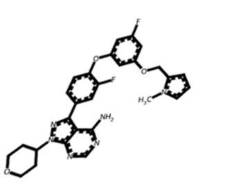 Cn1cccc1COc1cc(F)cc(Oc2ccc(-c3nn(C4CCOCC4)c4ncnc(N)c34)cc2F)c1